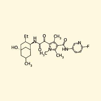 CCC1C[C@]2(O)CC(C)CC(C2)[C@@H]1NC(=O)C(=O)c1c(C)c(C(=O)Nc2ccc(F)nc2)c(C)n1C